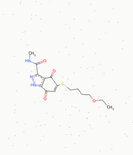 CCOCCCCSC1=CC(=O)c2[nH]nc(C(=O)NC)c2C1=O